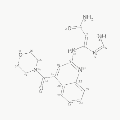 NC(=O)c1[nH]cnc1Nc1cc(C(=O)N2CCOCC2)c2ccccc2n1